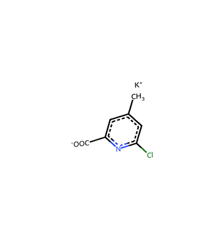 Cc1cc(Cl)nc(C(=O)[O-])c1.[K+]